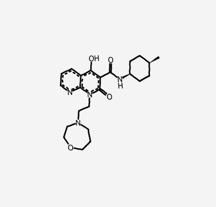 C[C@H]1CC[C@@H](NC(=O)c2c(O)c3cccnc3n(CCN3CCCOCC3)c2=O)CC1